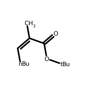 CCCCC=C(C)C(=O)OC(C)(C)C